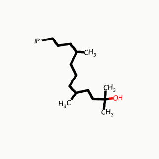 CC(C)CCCC(C)CCCC(C)CCC(C)(C)O